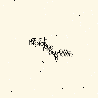 C=CC(=O)NC1CCN(c2ccc(NC(=O)C(C)C(=O)Nc3cccc(Oc4ccnc5cc(OC)c(OC)cc45)c3)cc2C(F)(F)F)CC1